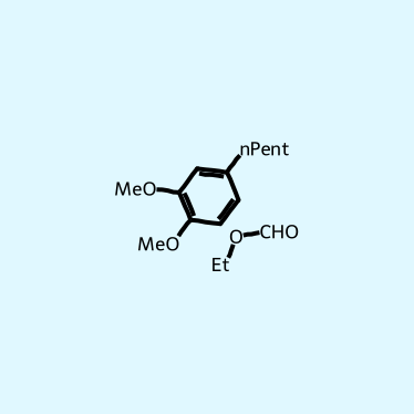 CCCCCc1ccc(OC)c(OC)c1.CCOC=O